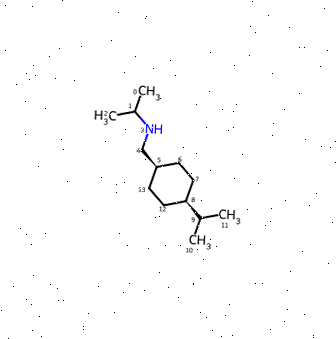 CC(C)NC[C@H]1CC[C@@H](C(C)C)CC1